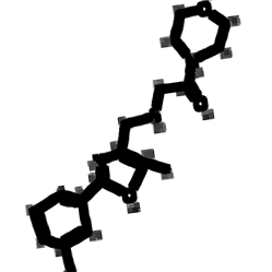 Cc1cccc(-c2nc(CSCC(=O)N3CCOCC3)c(C)o2)c1